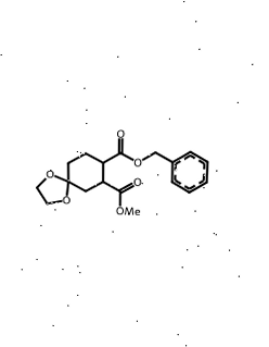 COC(=O)C1CC2(CCC1C(=O)OCc1ccccc1)OCCO2